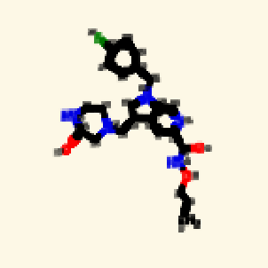 C=CCONC(=O)c1cc2c(CN3CCNC(=O)C3)cn(Cc3ccc(F)cc3)c2cn1